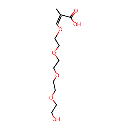 CC(=COCCOCCOCCOCCO)C(=O)O